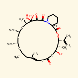 C=C(C)[C@H]1OC(=O)[C@@H]2CCCCN2C(=O)C(=O)C(O)(O)[C@H](C)C[C@H](OC)C[C@@H](OC)C[C@@H](C)C/C(C)=C/CC(=O)C[C@H](O)[C@H]1C